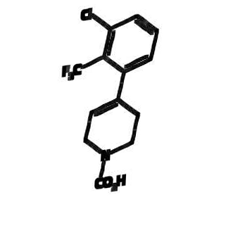 O=C(O)N1CC=C(c2cccc(Cl)c2C(F)(F)F)CC1